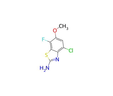 COc1cc(Cl)c2nc(N)sc2c1F